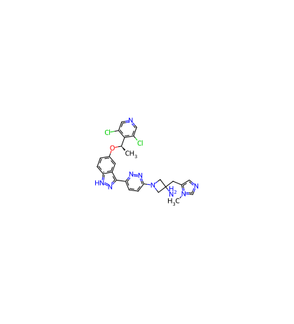 C[C@@H](Oc1ccc2[nH]nc(-c3ccc(N4CC(N)(Cc5cncn5C)C4)nn3)c2c1)c1c(Cl)cncc1Cl